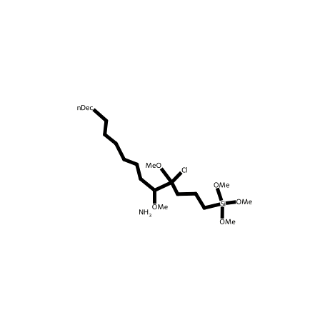 CCCCCCCCCCCCCCCCC(OC)C(Cl)(CCC[Si](OC)(OC)OC)OC.N